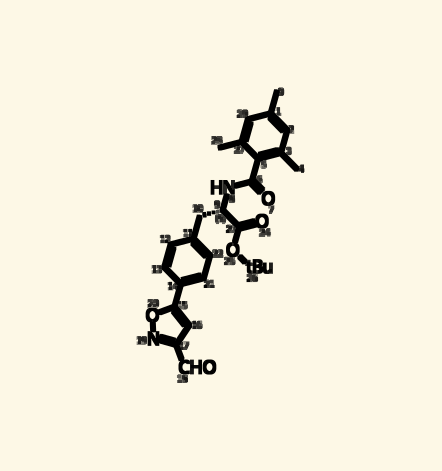 Cc1cc(C)c(C(=O)N[C@@H](Cc2ccc(-c3cc(C=O)no3)cc2)C(=O)OC(C)(C)C)c(C)c1